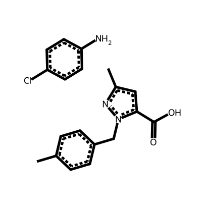 Cc1ccc(Cn2nc(C)cc2C(=O)O)cc1.Nc1ccc(Cl)cc1